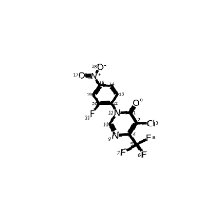 O=c1c(Cl)c(C(F)(F)F)ncn1-c1ccc([N+](=O)[O-])cc1F